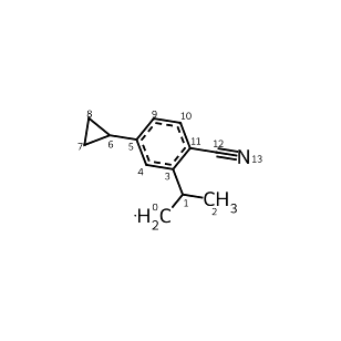 [CH2]C(C)c1cc(C2CC2)ccc1C#N